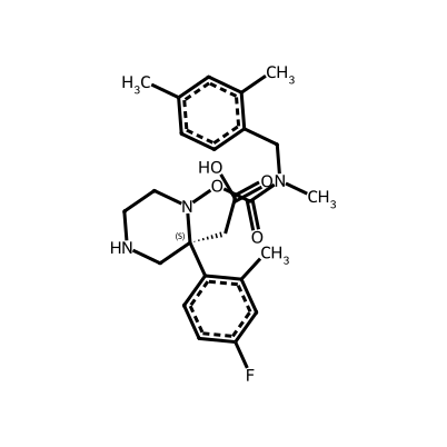 Cc1ccc(CN(C)C(=O)ON2CCNC[C@]2(CC(=O)O)c2ccc(F)cc2C)c(C)c1